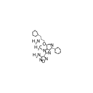 CCn1c(-c2nonc2N)nc2c(-c3ccccc3)ncc(OC[C@H](N)Cc3ccccc3)c21